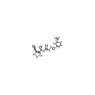 CN(C)c1cccc(OCCNCC(=O)N2CCC[C@H]2C#N)c1